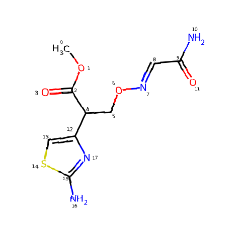 COC(=O)C(CON=CC(N)=O)c1csc(N)n1